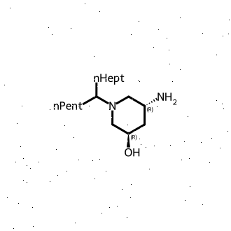 CCCCCCCC(CCCCC)N1C[C@H](N)C[C@@H](O)C1